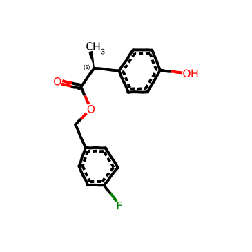 C[C@H](C(=O)OCc1ccc(F)cc1)c1ccc(O)cc1